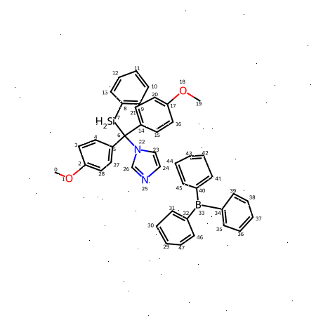 COc1ccc(C([SiH2]c2ccccc2)(c2ccc(OC)cc2)n2ccnc2)cc1.c1ccc(B(c2ccccc2)c2ccccc2)cc1